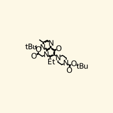 CCc1c(N2CCN(C(=O)OC(C)(C)C)CC2)c(=O)c2ncc(C)nc2n1CC(=O)OC(C)(C)C